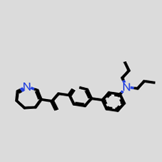 C=C(/C=C\C(=C/C)c1cccc(N(CCC)CCC)c1)CC(=C)C1=CN=CCCC1